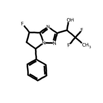 CC(F)(F)C(O)c1nc2n(n1)C(c1ccccc1)CC2F